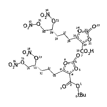 CC(C)(C)OC(=O)c1oc(=O)oc1CCC[C@H](CO[N+](=O)[O-])O[N+](=O)[O-].O=C(O)c1oc(=O)oc1CCC[C@H](CO[N+](=O)[O-])O[N+](=O)[O-]